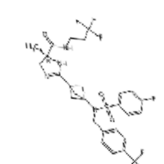 C[C@]1(C(=O)NCCC(F)(F)F)CN=C(C23CC(N(Cc4ccc(C(F)(F)F)cc4)S(=O)(=O)c4ccc(F)cc4)(C2)C3)N1